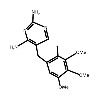 COc1cc(Cc2cnc(N)nc2N)c(I)c(OC)c1OC